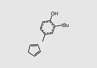 C1=CCC=C1.Cc1ccc(O)c(C(C)(C)C)c1